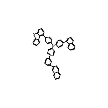 c1cc(-c2ccc(N(c3ccc(-c4cccc5ccccc45)cc3)c3ccc(-c4cccc5sc6ccccc6c45)cc3)cc2)cc(-c2ccc3ccccc3c2)c1